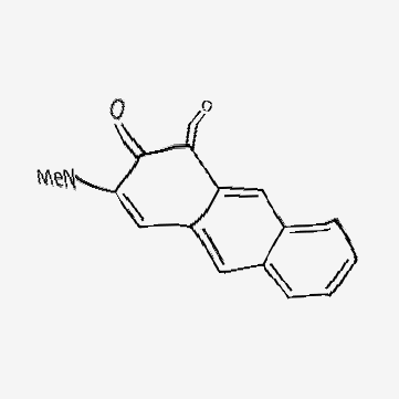 CNC1=Cc2cc3ccccc3cc2C(=O)C1=O